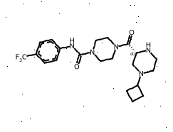 O=C(Nc1ccc(C(F)(F)F)cc1)N1CCN(C(=O)[C@H]2CN(C3CCC3)CCN2)CC1